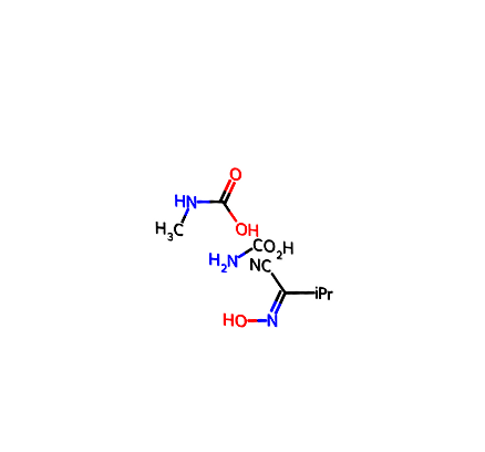 CC(C)C(C#N)=NO.CNC(=O)O.NC(=O)O